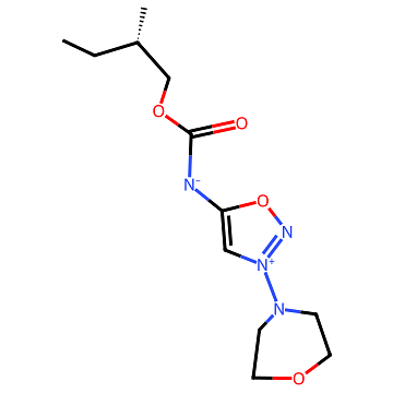 CC[C@H](C)COC(=O)[N-]c1c[n+](N2CCOCC2)no1